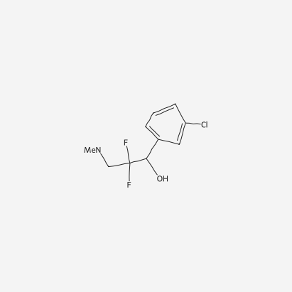 CNCC(F)(F)C(O)c1cccc(Cl)c1